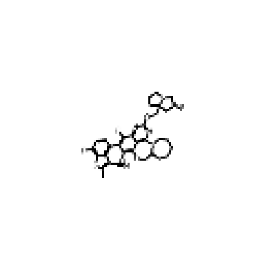 Cc1sc2c(F)ccc(-c3c(Cl)c4c5c(nc(OCC67CCCN6CC(F)C7)nc5c3F)N3CCCCCC3CO4)c2c1C#N